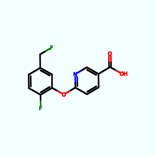 O=C(O)c1ccc(Oc2cc(CF)ccc2F)nc1